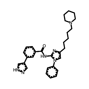 O=C(Nc1nc(CCCCCN2CCCCC2)cn1-c1ccccc1)c1cccc(-c2cn[nH]c2)c1